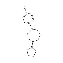 Clc1ccc(N2CCCC(N3CCCC3)CC2)cc1